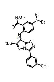 CCN(CC)c1ccc(/N=C2/C(C(C)(C)C)=Nn3c2nnc3-c2cccc(C)c2)c(C(=O)NC)c1